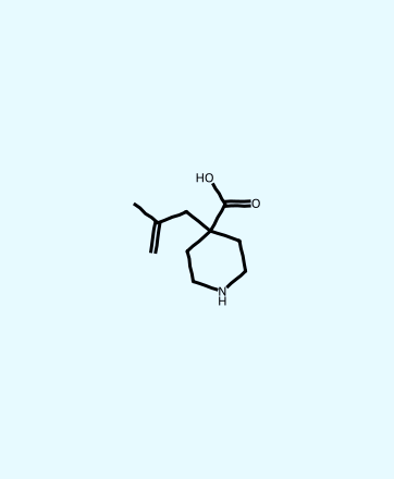 C=C(C)CC1(C(=O)O)CCNCC1